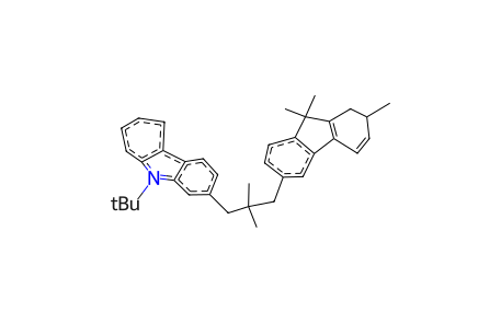 CC1C=CC2=C(C1)C(C)(C)c1ccc(CC(C)(C)Cc3ccc4c5ccccc5n(C(C)(C)C)c4c3)cc12